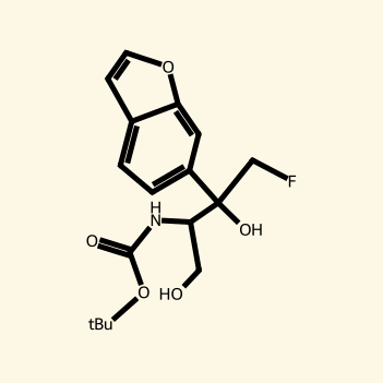 CC(C)(C)OC(=O)NC(CO)C(O)(CF)c1ccc2ccoc2c1